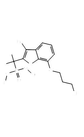 CCOP(=O)(OCC)C(F)(F)c1sc2c(OCCCC(F)(F)F)cccc2c1Br